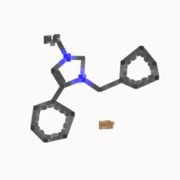 Br.CN1C=C(c2ccccc2)N(Cc2ccccc2)C1